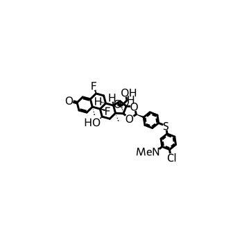 CNc1cc(Sc2ccc([C@@H]3O[C@@H]4C[C@H]5[C@@H]6C[C@H](F)C7=CC(=O)C=C[C@]7(C)[C@@]6(F)[C@@H](O)C[C@]5(C)[C@]4(C(=O)CO)O3)cc2)ccc1Cl